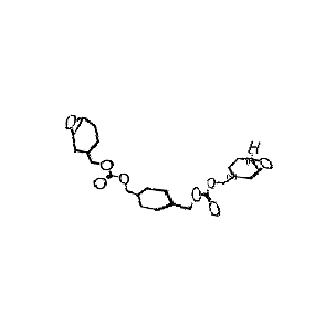 O=C(OCC1CCC(COC(=O)OC[C@H]2CC[C@H]3OC3C2)CC1)OCC1CCC2OC2C1